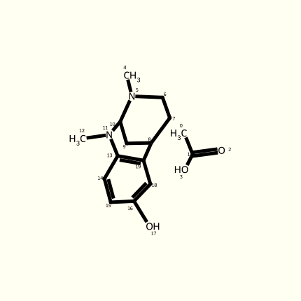 CC(=O)O.CN1CCC2CC1N(C)c1ccc(O)cc12